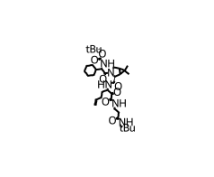 C=CCCC(NC(=O)[C@@H]1C2C(CN1C(=O)[C@@H](NC(=O)OC(C)(C)C)C1CCCCC1)C2(C)C)C(=O)C(=O)NCCC(=O)NC(C)(C)C